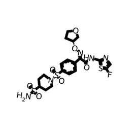 NS(=O)(=O)C1CCN(S(=O)(=O)c2ccc(/C(=N\O[C@@H]3CCOC3)C(=O)Nc3ncc(F)s3)cc2)CC1